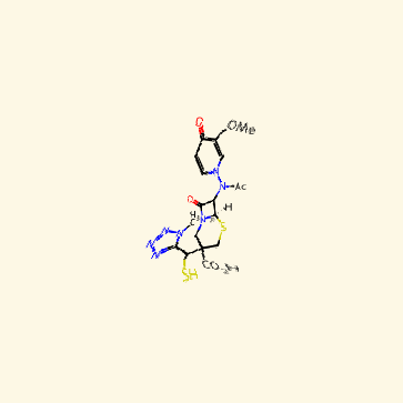 COc1cn(N(C(C)=O)C2C(=O)N3CC(C(=O)O)(C(S)c4nnnn4C)CS[C@H]23)ccc1=O